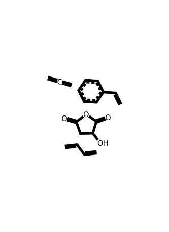 C=C=C.C=CC=C.C=Cc1ccccc1.O=C1CC(O)C(=O)O1